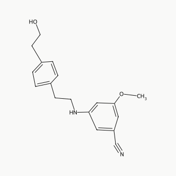 COc1cc(C#N)cc(NCCc2ccc(CCO)cc2)c1